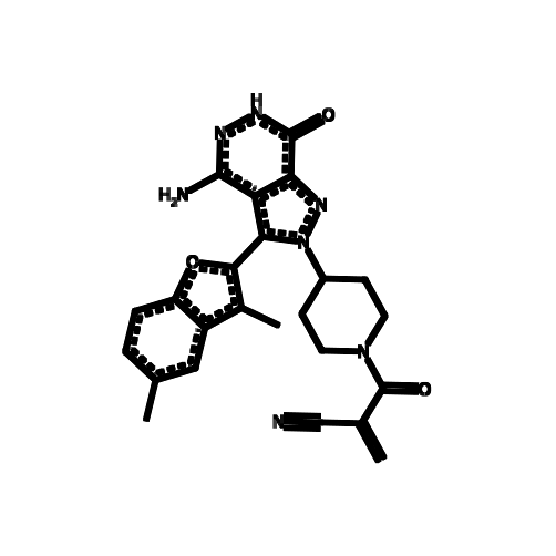 C=C(C#N)C(=O)N1CCC(n2nc3c(=O)[nH]nc(N)c3c2-c2oc3ccc(C)cc3c2C)CC1